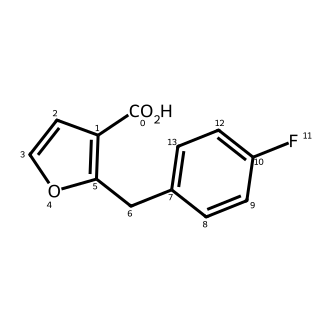 O=C(O)c1ccoc1Cc1ccc(F)cc1